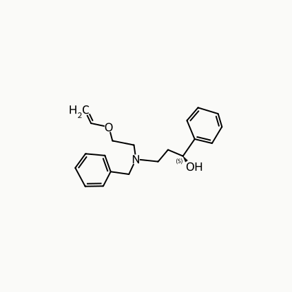 C=COCCN(CC[C@H](O)c1ccccc1)Cc1ccccc1